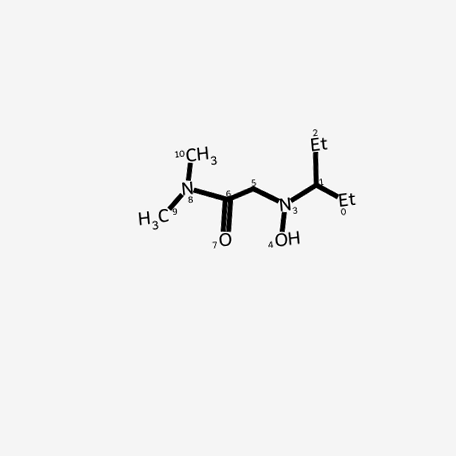 CCC(CC)N(O)CC(=O)N(C)C